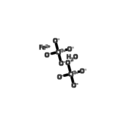 O.[Fe+2].[O-][Cl+3]([O-])([O-])[O-].[O-][Cl+3]([O-])([O-])[O-]